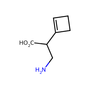 NCC(C(=O)O)C1=CCC1